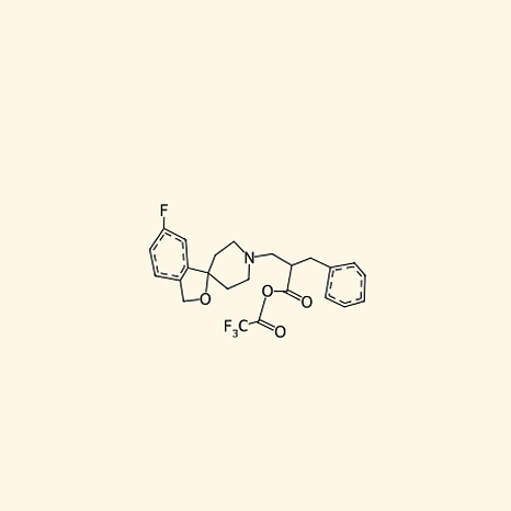 O=C(OC(=O)C(F)(F)F)C(Cc1ccccc1)CN1CCC2(CC1)OCc1ccc(F)cc12